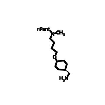 CCCCCN(C)CCCCO[C@H]1CC[C@H](CN)CC1